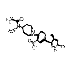 CC1CC(=O)NN=C1c1ccc(N2CCC(N(S)C(N)=O)CC2)c([N+](=O)[O-])c1